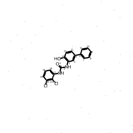 O=C(Nc1cc(-c2ccccc2)ccc1O)Nc1cccc(Cl)c1Cl